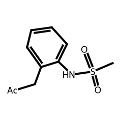 CC(=O)Cc1ccccc1NS(C)(=O)=O